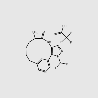 CC1CCCCc2cncc(c2)-c2c(cnn2C(F)F)NC1=O.O=C(O)C(F)(F)F